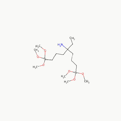 CCC(N)(CCC[Si](OC)(OC)OC)CCC[Si](OC)(OC)OC